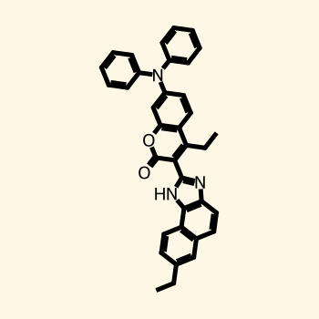 CCc1ccc2c(ccc3nc(-c4c(CC)c5ccc(N(c6ccccc6)c6ccccc6)cc5oc4=O)[nH]c32)c1